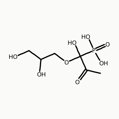 CC(=O)C(O)(OCC(O)CO)P(=O)(O)O